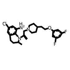 C=C(CN1CCC(CCOc2cc(F)cc(F)c2)CC1)N1c2c(N)cc(Cl)cc2CCC1C